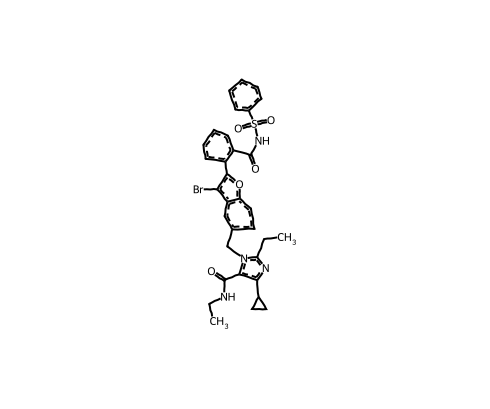 CCNC(=O)c1c(C2CC2)nc(CC)n1Cc1ccc2oc(-c3ccccc3C(=O)NS(=O)(=O)c3ccccc3)c(Br)c2c1